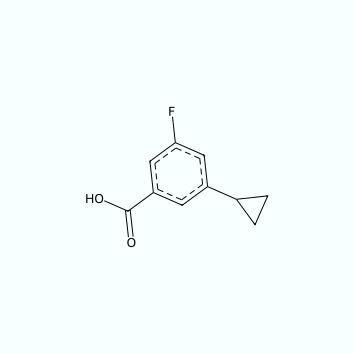 O=C(O)c1cc(F)cc(C2CC2)c1